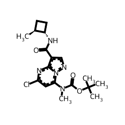 C[C@H]1CC[C@@H]1NC(=O)c1cnn2c(N(C)C(=O)OC(C)(C)C)cc(Cl)nc12